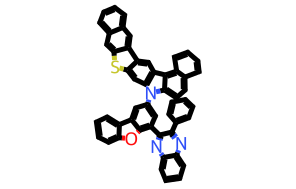 c1ccc(-c2nc3ccccc3nc2-c2cc(-n3c4cc5sc6cc7ccccc7cc6c5cc4c4c5ccccc5ccc43)cc3c2oc2ccccc23)cc1